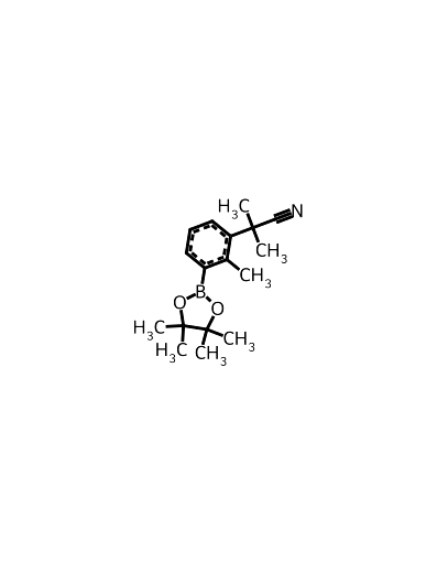 Cc1c(B2OC(C)(C)C(C)(C)O2)cccc1C(C)(C)C#N